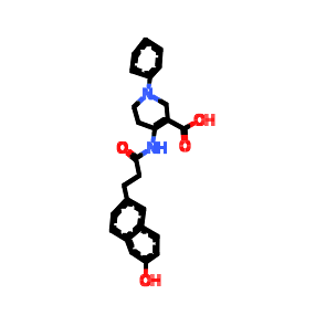 O=C(CCc1ccc2cc(O)ccc2c1)NC1=C(C(=O)O)CN(c2ccccc2)CC1